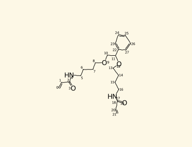 C=CC(=O)NCCCCOCC(OCCCCNC(=O)C=C)c1ccccc1